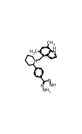 Cc1cc(C)c2[nH]ccc2c1CN1CCCCC1c1ccc(/C(N=N)=N/N)cc1